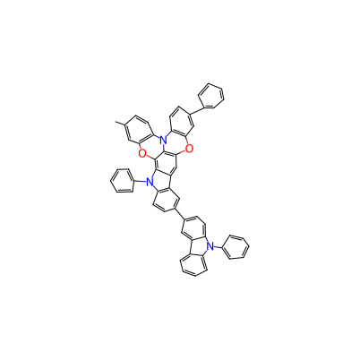 Cc1ccc2c(c1)Oc1c3c(cc4c5cc(-c6ccc7c(c6)c6ccccc6n7-c6ccccc6)ccc5n(-c5ccccc5)c14)Oc1cc(-c4ccccc4)ccc1N23